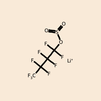 O=[S-](=O)OC(F)(F)C(F)(F)C(F)(F)C(F)(F)F.[Li+]